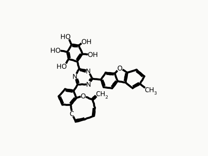 C=C1/C=C\C=C/Cc2cccc(-c3nc(-c4ccc5c(c4)oc4ccc(C)cc45)nc(-c4c(O)c(O)c(O)c(O)c4O)n3)c2O1